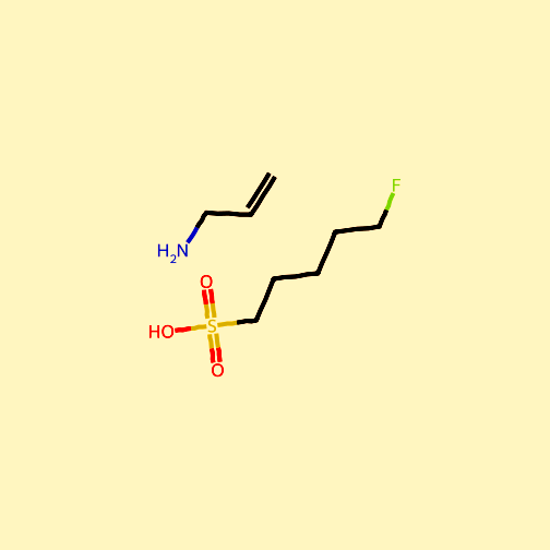 C=CCN.O=S(=O)(O)CCCCCF